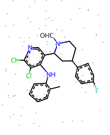 Cc1ccccc1Nc1c(C2CC(c3ccc(F)cc3)CCN2C=O)cnc(Cl)c1Cl